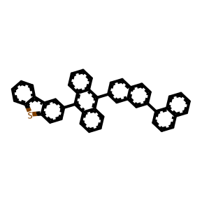 c1ccc2c(-c3ccc4ccc(-c5c6ccccc6c(-c6ccc7sc8ccccc8c7c6)c6ccccc56)cc4c3)cccc2c1